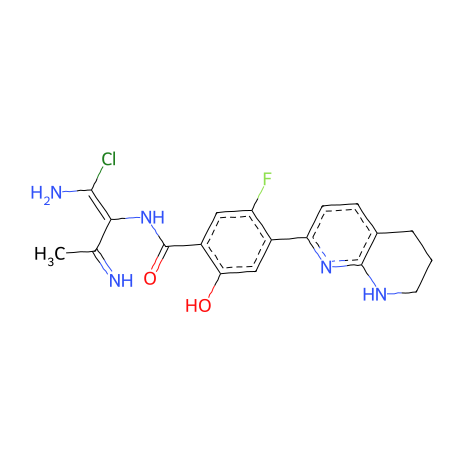 CC(=N)/C(NC(=O)c1cc(F)c(-c2ccc3c(n2)NCCC3)cc1O)=C(\N)Cl